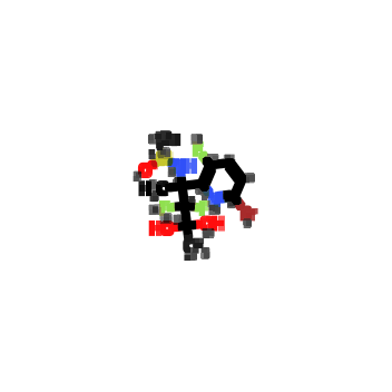 CC(C)(C)[S@@+]([O-])NC(C)(c1nc(Br)ccc1F)C(F)(F)C(O)(O)C(F)(F)F